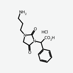 Cl.NCCCN1CC(=O)N(C(C(=O)O)c2ccccc2)C1=O